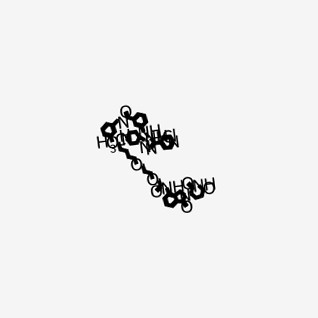 CN1CCC(Nc2cccc(C(=O)NCc3cccc(OCCCCCOCCCOCC(=O)Nc4cccc5c4CN(C4CCC(=O)NC4=O)C5=O)c3)c2)(c2nnc(-c3ccncc3)[nH]2)CC1.Cl